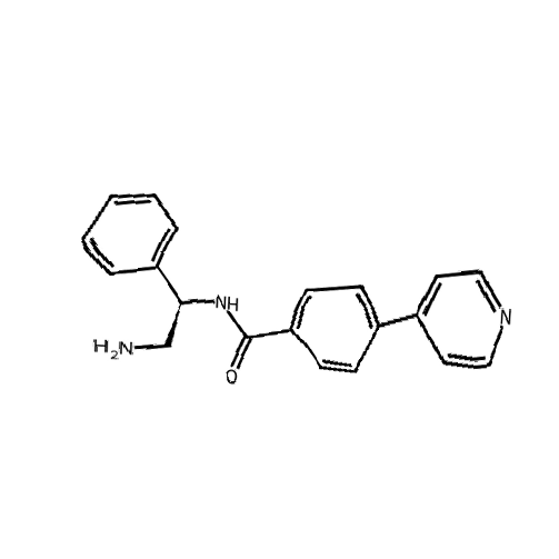 NC[C@H](NC(=O)c1ccc(-c2ccncc2)cc1)c1ccccc1